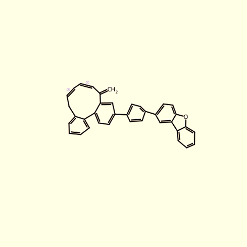 C=C1/C=C\C=C/Cc2ccccc2-c2ccc(-c3ccc(-c4ccc5oc6ccccc6c5c4)cc3)cc21